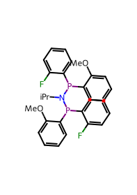 COc1ccccc1P(c1ccccc1F)N(C(C)C)P(c1ccccc1F)c1ccccc1OC